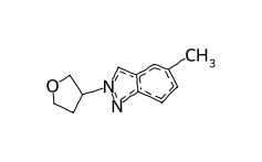 Cc1ccc2nn(C3CCOC3)cc2c1